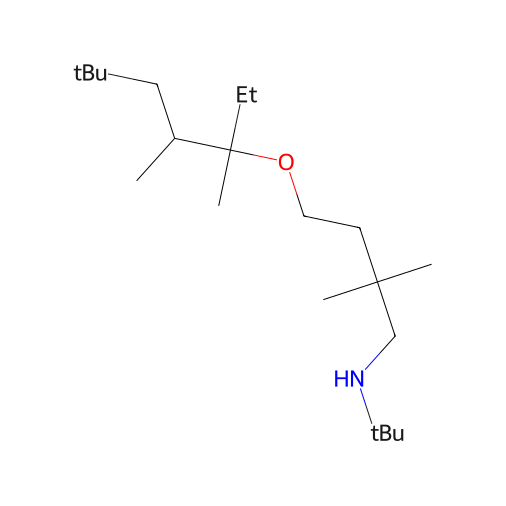 CCC(C)(OCCC(C)(C)CNC(C)(C)C)C(C)CC(C)(C)C